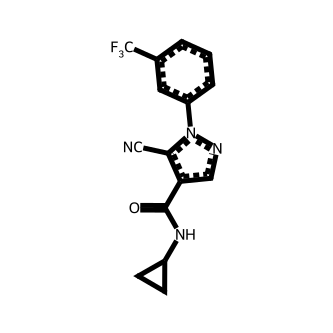 N#Cc1c(C(=O)NC2CC2)cnn1-c1cccc(C(F)(F)F)c1